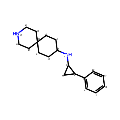 c1ccc(C2CC2NC2CCC3(CCNCC3)CC2)cc1